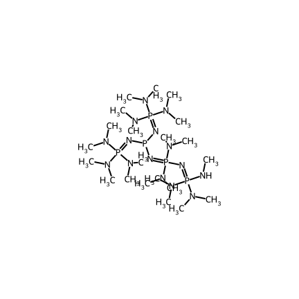 CNP(=NP(=NP(N=P(N(C)C)(N(C)C)N(C)C)N=P(N(C)C)(N(C)C)N(C)C)(N(C)C)N(C)C)(N(C)C)N(C)C